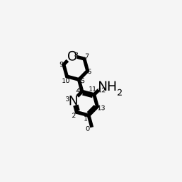 Cc1cnc(C2CCOCC2)c(N)c1